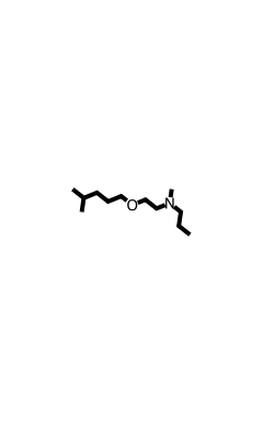 CCCN(C)CCOCCCC(C)C